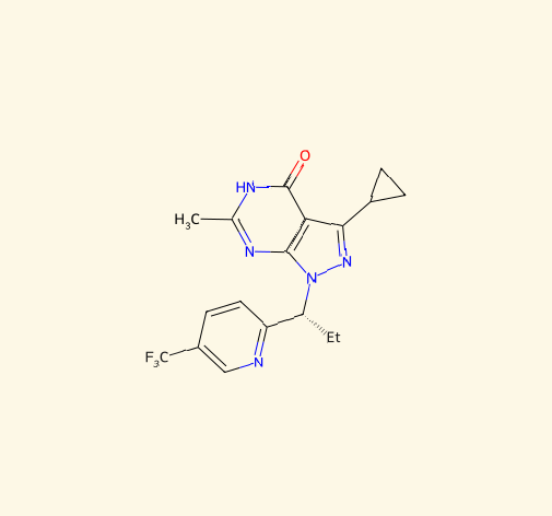 CC[C@H](c1ccc(C(F)(F)F)cn1)n1nc(C2CC2)c2c(=O)[nH]c(C)nc21